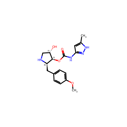 COc1ccc(C[C@H]2NC[C@H](O)[C@H]2OC(=O)Nc2cc(C)[nH]n2)cc1